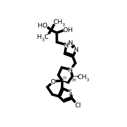 C[C@@H]1C[C@]2(CCN1Cc1cn(CC(O)C(C)(C)O)nn1)OCCc1cc(Cl)sc12